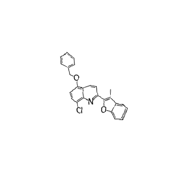 Cc1c(-c2ccc3c(OCc4ccccc4)ccc(Cl)c3n2)oc2ccccc12